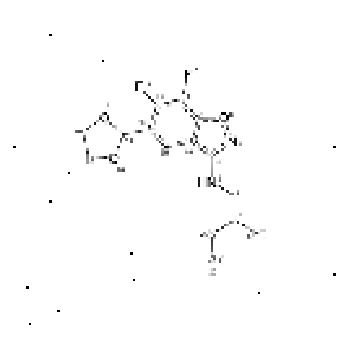 CCC(CNc1noc2c(F)c(F)c(C3OCCO3)cc12)SC(C)=O